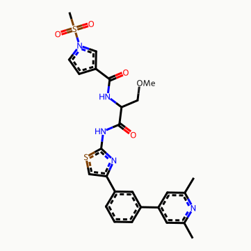 COCC(NC(=O)c1ccn(S(C)(=O)=O)c1)C(=O)Nc1nc(-c2cccc(-c3cc(C)nc(C)c3)c2)cs1